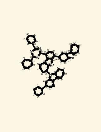 c1ccc(-c2ccc3c4ccccc4n(-c4cccc5c4oc4c(-c6ccc7sc8ccccc8c7c6)ccc(-c6nc(-c7ccccc7)nc(-c7ccccc7)n6)c45)c3c2)cc1